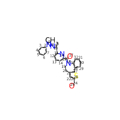 CN(c1ccccc1)N1C=C1c1cccc(C(=O)N2CCc3cc(C=O)sc3-c3ccccc32)n1